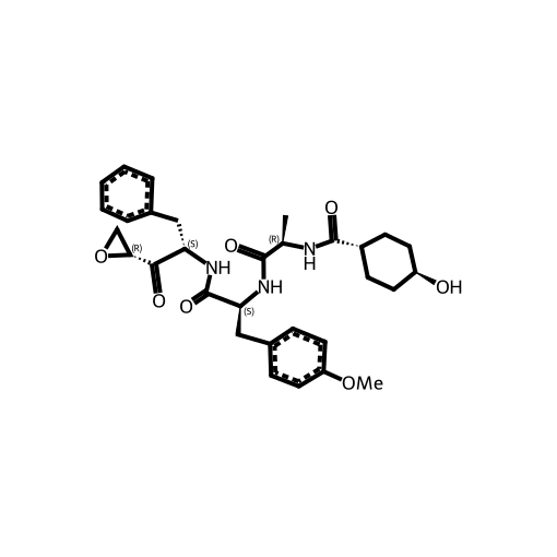 COc1ccc(C[C@H](NC(=O)[C@@H](C)NC(=O)[C@H]2CC[C@H](O)CC2)C(=O)N[C@@H](Cc2ccccc2)C(=O)[C@H]2CO2)cc1